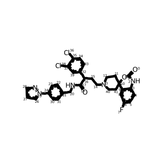 O=C1Nc2ccc(F)cc2C2(CCN(CCC(C(=O)NCc3ccc(-n4cccn4)cc3)c3ccc(Cl)c(Cl)c3)CC2)O1